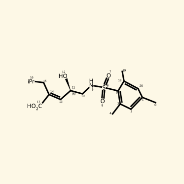 Cc1cc(C)c(S(=O)(=O)NC[C@H](O)C=C(CC(C)C)C(=O)O)c(C)c1